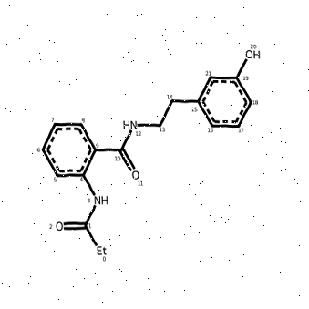 CCC(=O)Nc1ccccc1C(=O)NCCc1cccc(O)c1